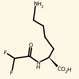 NCCCC[C@H](NC(=O)C(F)F)C(=O)O